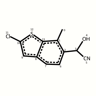 Cc1c(C(O)C#N)ccc2cc(Cl)sc12